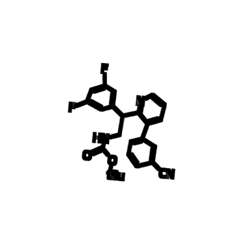 CC(C)(C)OC(=O)NCC(c1cc(F)cc(F)c1)c1ncccc1-c1cccc(C#N)c1